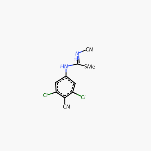 CS/C(=N\C#N)Nc1cc(Cl)c(C#N)c(Cl)c1